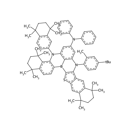 Cc1cc(C(C)(C)C)ccc1N1c2cc(N(c3ccccc3)c3ccccc3)cc3c2B(c2ccc4c(c2N3c2ccc3c(c2)C(C)(C)CCC3(C)C)C(C)(C)CCC4(C)C)c2sc3cc4c(cc3c21)C(C)(C)CCC4(C)C